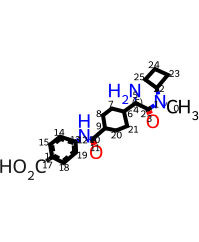 CN(C(=O)[C@@H](N)C1CCC(C(=O)Nc2ccc(C(=O)O)cc2)CC1)C1CCC1